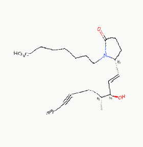 CCCC#CC[C@@H](C)[C@H](O)C=C[C@H]1CCC(=O)N1CCCCCCC(=O)O